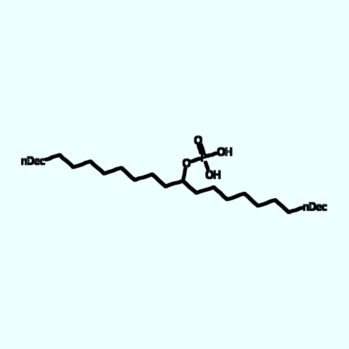 CCCCCCCCCCCCCCCCCCC(CCCCCCCCCCCCCCCCC)OP(=O)(O)O